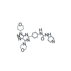 O=C(Nc1ccncc1)Nc1ccc(-c2nc(N3CCOCC3)c3nnn(C4CCOCC4)c3n2)cc1